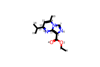 CCOC(=O)c1ncn2c(C)cc(C(C)C)nc12